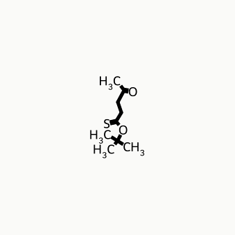 CC(=O)CCC(=S)OC(C)(C)C